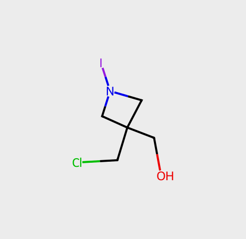 OCC1(CCl)CN(I)C1